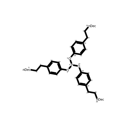 CCCCCCCCCCCCc1ccc(OP(Oc2ccc(CCCCCCCCCCCC)cc2)Oc2ccc(CCCCCCCCCCCC)cc2)cc1